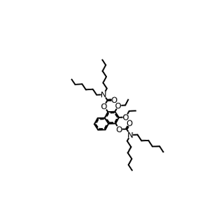 CCCCCCN(CCCCCC)C(=O)Oc1c(OCC)c(OCC)c(OC(=O)N(CCCCCC)CCCCCC)c2ccccc12